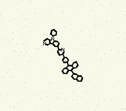 C1=CCC(n2c3ccncc3c3cc(-c4ccc(C5=CC=C(c6c7ccccc7c(-c7ccc8ccccc8c7)c7ccccc67)CC5)cn4)ccc32)C=C1